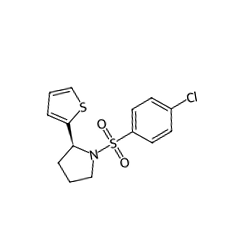 O=S(=O)(c1ccc(Cl)cc1)N1CCC[C@H]1c1cccs1